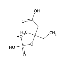 CCC(C)(CC(=O)O)OP(=O)(O)O